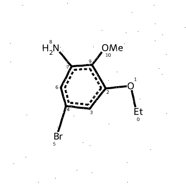 CCOc1cc(Br)cc(N)c1OC